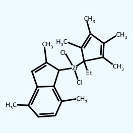 CC[C]1([Zr]([Cl])([Cl])[CH]2C(C)=Cc3c(C)ccc(C)c32)C(C)=C(C)C(C)=C1C